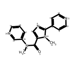 CN(C(=O)c1cnc(-c2ccncc2)n1C)c1cccnc1